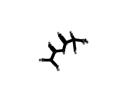 CC(F)(F)C(=O)OC(=O)C(F)F